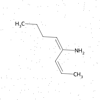 C/C=C\C(N)=C/CCC